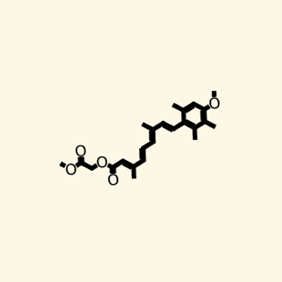 COC(=O)COC(=O)C=C(C)C=CC=C(C)C=Cc1c(C)cc(OC)c(C)c1C